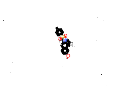 COc1ccc2c(c1)[C@@H]1C[C@H](C2)N(S(=O)(=O)c2ccc(C)cc2)C[C@@H]1C